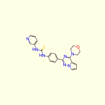 S=C(Nc1ccc(-c2nc(N3CCOCC3)c3cccn3n2)cc1)Nc1cccnc1